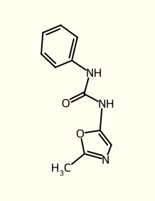 Cc1ncc(NC(=O)Nc2ccccc2)o1